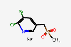 CS(=O)(=O)Cc1cnc(Cl)c(Br)c1.[Na]